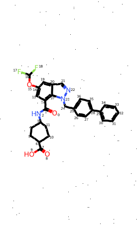 O=C(NC1CCC(C(=O)O)CC1)c1cc(OC(F)F)cc2cnn(Cc3ccc(-c4ccccc4)cc3)c12